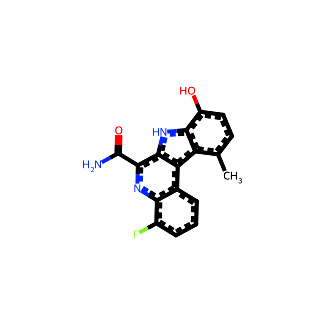 Cc1ccc(O)c2[nH]c3c(C(N)=O)nc4c(F)cccc4c3c12